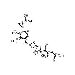 C[C@](N)(CN1CC(Oc2ccc([C@@H]3C[C@@H]3B(O)O)c(O)c2C(=O)O)C1)C(=O)NCC(N)=O